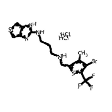 Cc1c(CNCCCNc2nc3cscc3[nH]2)sc(C(F)(F)F)c1Br.Cl.Cl